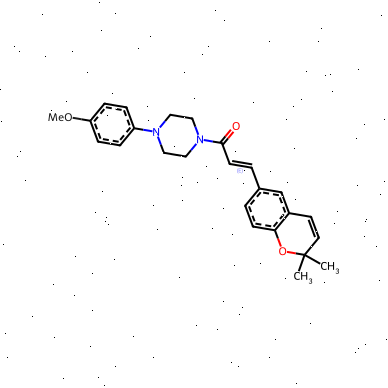 COc1ccc(N2CCN(C(=O)/C=C/c3ccc4c(c3)C=CC(C)(C)O4)CC2)cc1